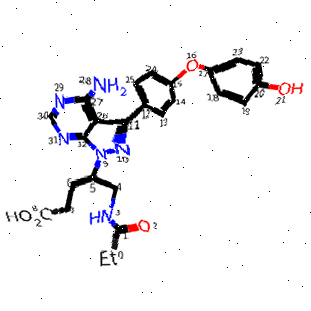 CCC(=O)NCC(CCC(=O)O)n1nc(-c2ccc(Oc3ccc(O)cc3)cc2)c2c(N)ncnc21